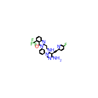 Nc1ncnc(NCCc2nc3cccc(C(F)(F)F)c3c(=O)n2-c2ccccc2)c1C#Cc1ccc(F)cn1